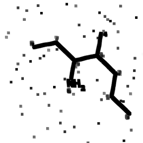 CCCC(C)C(N)CC